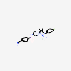 Cc1c(-c2ccc(F)cc2)nnc(N2CCC(N(C)C(=O)c3ccc(C#N)cc3)CC2)c1C.Cl